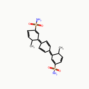 CC1C=CC(S(N)(=O)=O)=CC1=c1ccc(=C2C=C(S(N)(=O)=O)C=CC2C)cc1